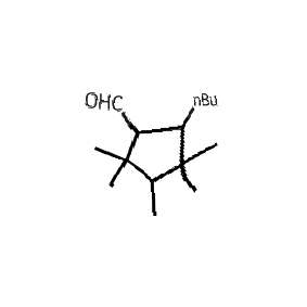 CCCCC1C(C=O)C(C)(C)C(C)C1(C)C